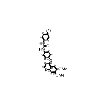 CCc1ccc(NC(=O)Nc2ccc(Oc3ccnc4cc(OC)c(OC)cc34)cc2)cc1